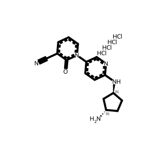 Cl.Cl.Cl.Cl.N#Cc1cccn(-c2ccc(N[C@H]3CC[C@H](N)C3)nc2)c1=O